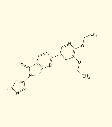 CCOc1cc(-c2ccc3c(n2)CN(c2cn[nH]c2)C3=O)cnc1OCC